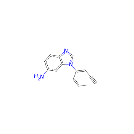 C#C/C=C(\C=C/C)n1cnc2ccc(N)cc21